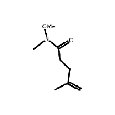 C=C(C)CCC(=O)N(C)OC